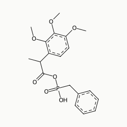 COc1ccc(C(C)C(=O)OP(=O)(O)Cc2ccccc2)c(OC)c1OC